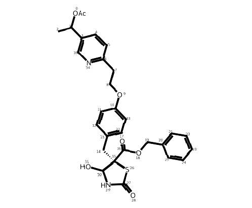 CC(=O)OC(C)c1ccc(CCOc2ccc(C[C@]3(C(=O)OCc4ccccc4)SC(=O)NC3O)cc2)nc1